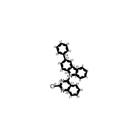 Clc1nc(-n2c3ccccc3c3cc(-c4ccccc4)ccc32)c2ccccc2n1